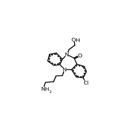 NCCCCN1c2cc(Cl)ccc2C(=O)N(CCO)c2ccccc21